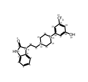 O=c1[nH]c2ccccc2n1CCN1CCN(c2cc(O)cc(C(F)(F)F)c2)CC1